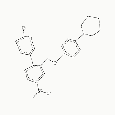 C[S+]([O-])c1ccc(-c2ccc(Cl)cc2)c(COc2ccc(C3[CH]CCCC3)cc2)c1